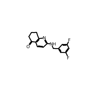 O=C1CCCc2nc(NCc3cc(F)cc(F)c3)ccc21